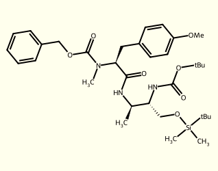 COc1ccc(C[C@@H](C(=O)N[C@H](C)[C@@H](CO[Si](C)(C)C(C)(C)C)NC(=O)OC(C)(C)C)N(C)C(=O)OCc2ccccc2)cc1